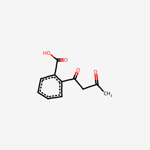 CC(=O)CC(=O)c1ccccc1C(=O)O